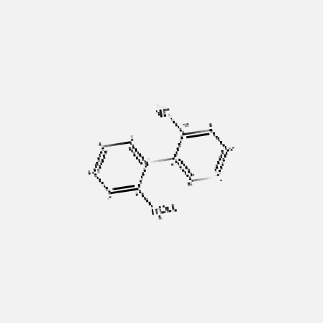 CCCCCCCCc1ccccc1-c1ccccc1C#N